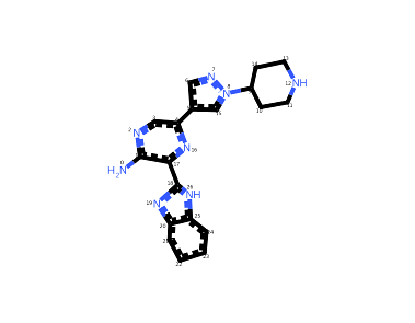 Nc1ncc(-c2cnn(C3CCNCC3)c2)nc1-c1nc2ccccc2[nH]1